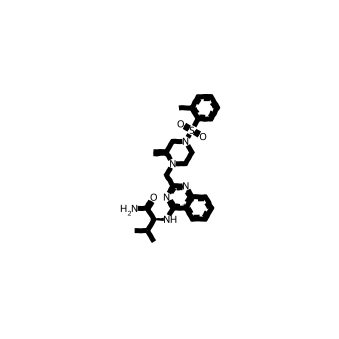 C=C1CN(S(=O)(=O)c2ccccc2C)CCN1Cc1nc(N[C@H](C(N)=O)C(C)C)c2ccccc2n1